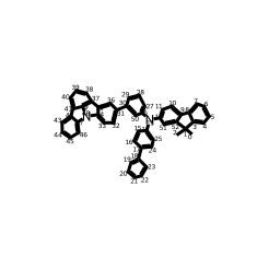 CC1(C)c2ccccc2-c2ccc(N(c3ccc(-c4ccccc4)cc3)c3cccc(-c4ccc5c(c4)c4cccc6c7ccccc7n5c64)c3)cc21